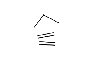 C=C.C=C.CCC